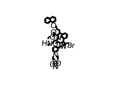 CCOC(=O)c1c(CCCOc2cccc3ccccc23)c2cccc(-c3c(CBr)nn(C)c3COc3ccc(N4CCN(S(=O)(=O)N(C)C)CC4)cc3)c2n1CCCNC